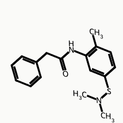 Cc1ccc(SN(C)C)cc1NC(=O)Cc1ccccc1